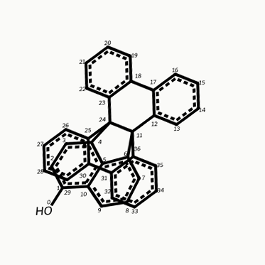 Oc1ccc2c3c(cccc13)C13c4ccccc4-c4ccccc4C21c1ccccc1-c1ccccc13